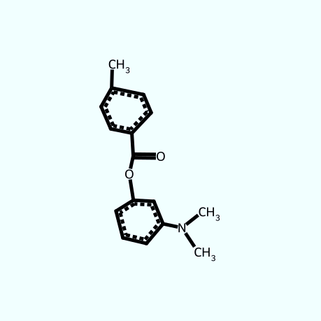 Cc1ccc(C(=O)Oc2cccc(N(C)C)c2)cc1